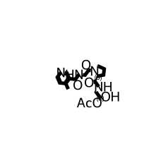 CC(=O)O[C@@H](O)CNC(=O)[C@@H]1CCCN1C(=O)CNC(=O)c1cnccc1C